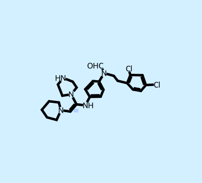 O=CN(CCc1ccc(Cl)cc1Cl)c1ccc(N/C(=C/N2CCCCC2)N2CCNCC2)cc1